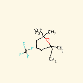 CC1(C)CCCC(C)(C)O1.F[B-](F)(F)F